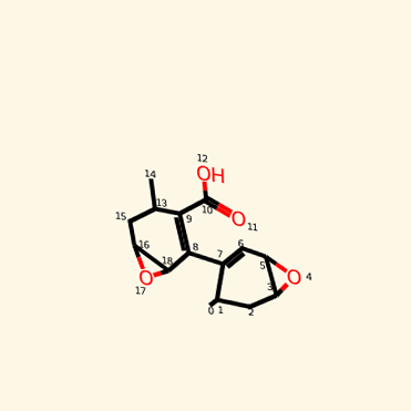 CC1CC2OC2C=C1C1=C(C(=O)O)C(C)CC2OC12